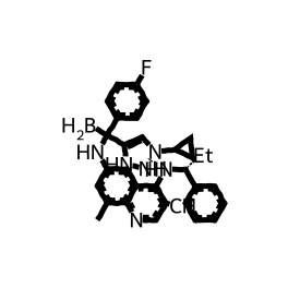 BC(Nc1cc(C)c2ncc(C#N)c(N[C@H](CC)c3ccccc3)c2c1)(C1=CN(C2CC2)NN1)c1ccc(F)cc1